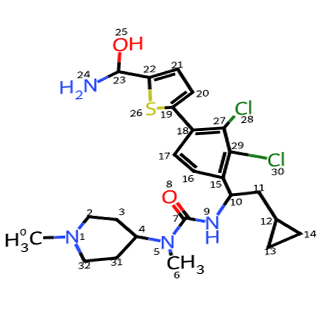 CN1CCC(N(C)C(=O)NC(CC2CC2)c2ccc(-c3ccc(C(N)O)s3)c(Cl)c2Cl)CC1